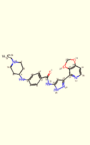 CN1CCC(Nc2ccc(C(=O)Nc3cc(-c4nccc5c4OCO5)n[nH]3)cc2)CC1